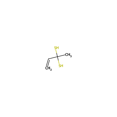 C=CC(C)(S)S